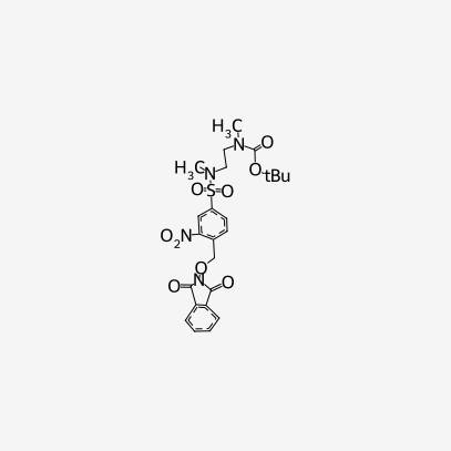 CN(CCN(C)S(=O)(=O)c1ccc(CON2C(=O)c3ccccc3C2=O)c([N+](=O)[O-])c1)C(=O)OC(C)(C)C